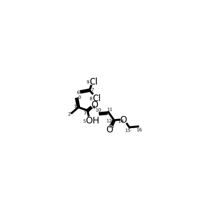 C=C(C)C(=O)O.C=C(Cl)Cl.C=CC(=O)OCC